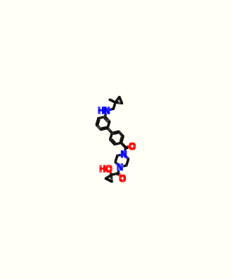 CC1(CNc2cccc(-c3ccc(C(=O)N4CCN(C(=O)C5(O)CC5)CC4)cc3)c2)CC1